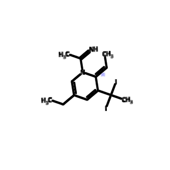 C/C=C1/C(C(C)(I)I)=CC(CC)=CN1C(C)=N